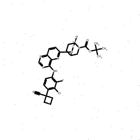 CC(C)(C)OC(=O)N1CC2CC[C@H]1CN2c1ccc2ncnc(Nc3ccc(C4(C#N)CCC4)c(Cl)c3F)c2n1